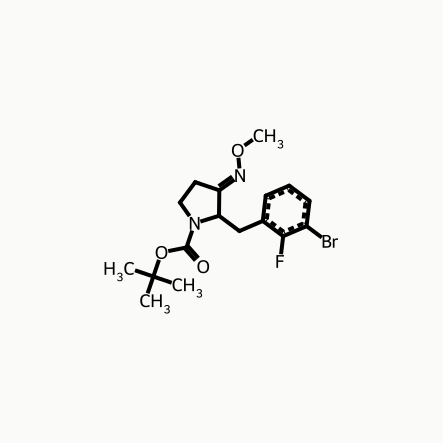 CON=C1CCN(C(=O)OC(C)(C)C)C1Cc1cccc(Br)c1F